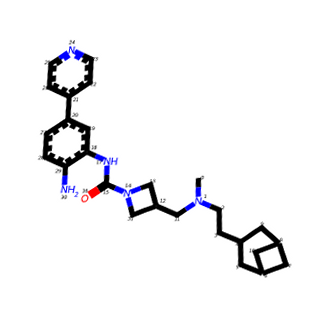 CN(CCC1CC2CC(C1)C2)CC1CN(C(=O)Nc2cc(-c3ccncc3)ccc2N)C1